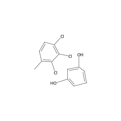 Cc1ccc(Cl)c(Cl)c1Cl.Oc1cccc(O)c1